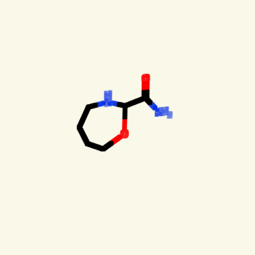 NC(=O)C1NCCCCO1